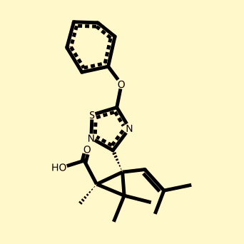 CC(C)=C[C@@]1(c2nsc(Oc3ccccc3)n2)C(C)(C)[C@@]1(C)C(=O)O